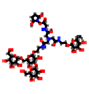 C[C@@H]1O[C@@H](OCCNC(=O)CN(CC(=O)NCCO[C@H]2O[C@H](CO[C@H]3O[C@H](CO)[C@@H](O)[C@H](O)[C@@H]3O)[C@@H](O)[C@H](O[C@H]3O[C@H](CO)[C@@H](O)[C@H](O)[C@@H]3O)[C@@H]2O)CC(=O)NCC(=O)ON2C(=O)CCC2=O)[C@@H](O)[C@H](O)[C@@H]1O